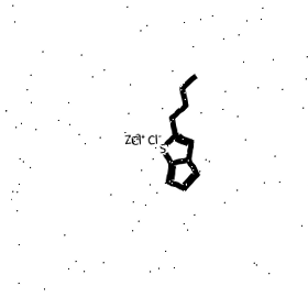 CCCCC1=CC2C=CC=C2S1.[Cl-].[Cl-].[Zr+2]